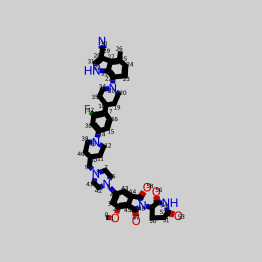 COc1cc(N2CCN(CC3CCN(c4ccc(C5CCN(c6ccc(C)c7c(C#N)c[nH]c67)CC5)c(F)c4)CC3)CC2)cc2c1C(=O)N(C1CCC(=O)NC1=O)C2=O